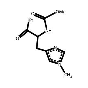 COC(=O)NC(Cc1cn(C)cn1)C(=O)C(C)C